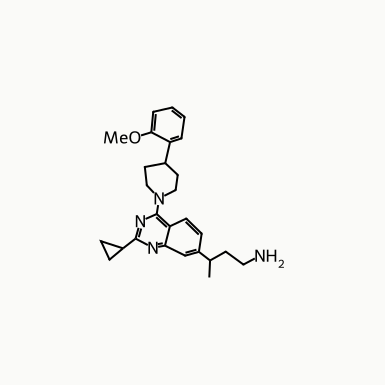 COc1ccccc1C1CCN(c2nc(C3CC3)nc3cc(C(C)CCN)ccc23)CC1